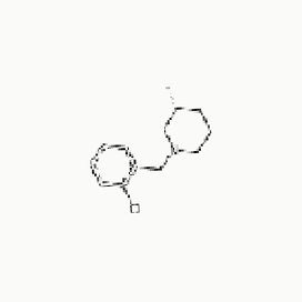 C[C@@H]1CCCN(Cc2ccccc2Cl)C1